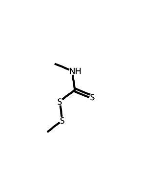 CNC(=S)SSC